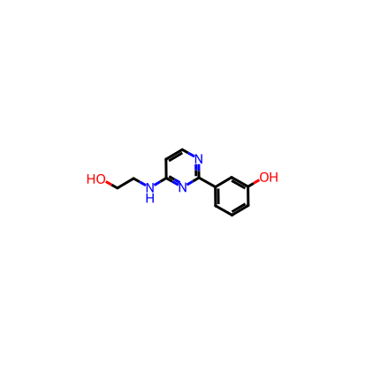 OCCNc1ccnc(-c2cccc(O)c2)n1